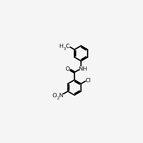 Cc1cccc(NC(=O)c2cc([N+](=O)[O-])ccc2Cl)c1